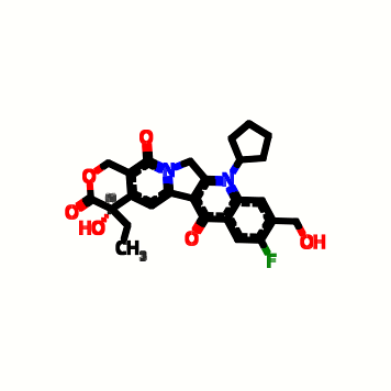 CC[C@@]1(O)C(=O)OCc2c1cc1n(c2=O)Cc2c-1c(=O)c1cc(F)c(CO)cc1n2C1CCCC1